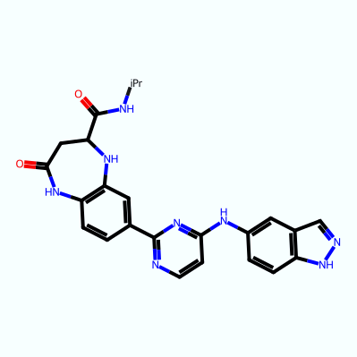 CC(C)NC(=O)C1CC(=O)Nc2ccc(-c3nccc(Nc4ccc5[nH]ncc5c4)n3)cc2N1